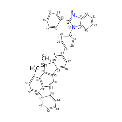 C[Si]1(C)c2cc(-c3ccc(-n4c(-c5ccccc5)nc5ccccc54)cc3)ccc2-c2cc3c4c(cccc4c21)-c1ccccc1-3